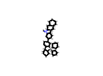 Cn1c2cc(-c3ccc4c(c3)[Si](c3ccccc3)(c3ccccc3)c3ccccc3-4)ccc2c2cc3ccccc3cc21